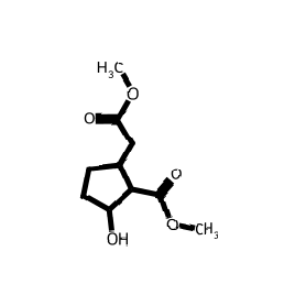 COC(=O)CC1CCC(O)C1C(=O)OC